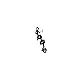 Cc1cc(C2COC(=O)N2)ccc1-c1ccc(CCN2CCCC2C)cc1